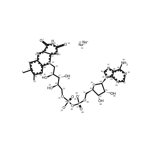 Cc1cc2nc3c(=O)[nH]c(=O)nc-3n(C[C@H](O)[C@H](O)[C@H](O)COP(=O)([O-])OP(=O)([O-])OC[C@H]3O[C@@H](n4cnc5c(N)ncnc54)[C@H](O)[C@@H]3O)c2cc1C.[Na+].[Na+]